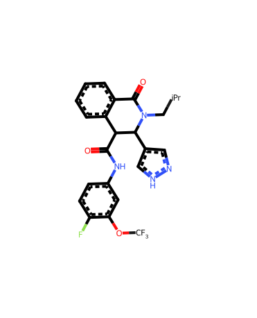 CC(C)CN1C(=O)c2ccccc2C(C(=O)Nc2ccc(F)c(OC(F)(F)F)c2)C1c1cn[nH]c1